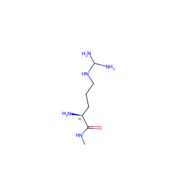 CNC(=O)[C@@H](N)CCCNC(N)N